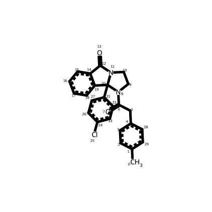 Cc1ccc(CC(=O)N2CCN3C(=O)c4ccccc4C23c2ccc(Cl)cc2)cc1